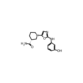 NC(=O)[C@@H]1CCCN(c2cnc(Nc3cccc(O)c3)o2)C1